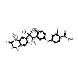 COC(=O)c1ccc(Oc2ccc(Cl)c(C(C)C(O)(c3ccc4c(c3)N(C)C(=O)CO4)C(F)(F)F)c2)cc1F